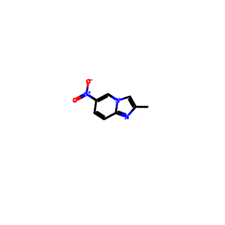 Cc1cn2cc([N+](=O)[O-])ccc2n1